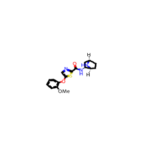 COc1ccccc1Oc1cnc(C(=O)N[C@@H]2C[C@H]3CC[C@@H]2N3)s1